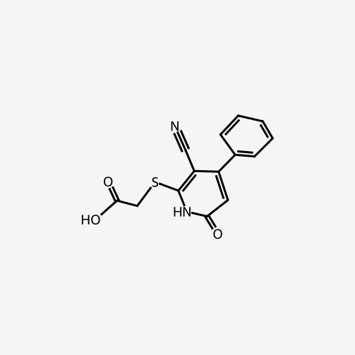 N#Cc1c(-c2ccccc2)cc(=O)[nH]c1SCC(=O)O